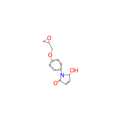 O=C1C=CC(O)N1c1ccc(OCC2CO2)cc1